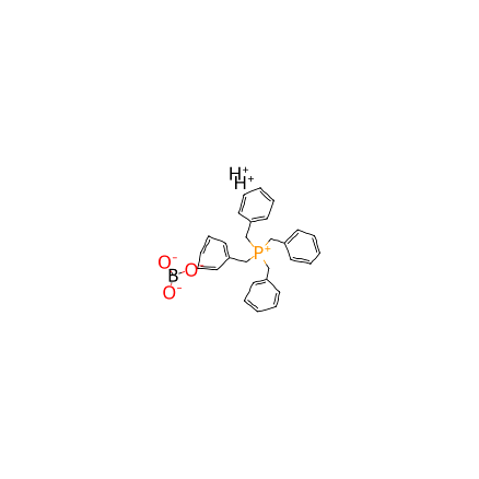 [H+].[H+].[O-]B([O-])[O-].c1ccc(C[P+](Cc2ccccc2)(Cc2ccccc2)Cc2ccccc2)cc1